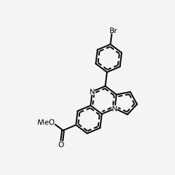 COC(=O)c1ccc2c(c1)nc(-c1ccc(Br)cc1)c1cccn12